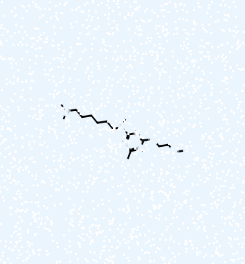 COCCOc1nc(C)nc(N(C)CCCCCCN(C)C)n1